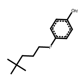 CC(C)(C)CCC[I+]c1ccc(O)cc1